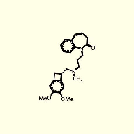 COc1cc2c(cc1OC)[C@H](CN(C)CCCN1C(=O)CC=Cc3ccccc31)C2